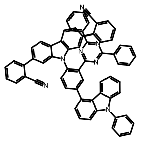 N#Cc1ccccc1-c1ccc2c3ccc(-c4ccccc4C#N)cc3n(-c3ccc(-c4cccc5c4c4ccccc4n5-c4ccccc4)cc3-c3nc(-c4ccccc4)nc(-c4ccccc4)n3)c2c1